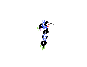 CCc1nc2ccc(C(F)(F)I)cn2c1C(=O)NCc1ccc(N2CCN(c3ccc(C(F)(F)F)cc3)CC2)cc1